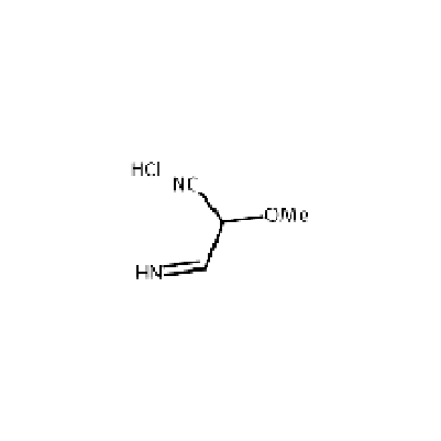 COC(C#N)C=N.Cl